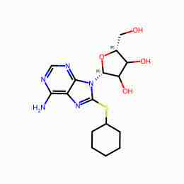 Nc1ncnc2c1nc(SC1CCCCC1)n2[C@@H]1O[C@H](CO)C(O)C1O